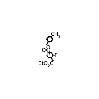 CCOC(=O)/C=C1\CCN(C(=O)OCc2ccc(C)cc2)CC1F